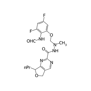 CCCC1OCc2cnc(C(=O)NN(C)COc3cc(F)cc(F)c3NC=O)nc21